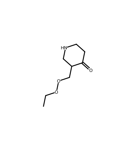 CCOOCC1CNCCC1=O